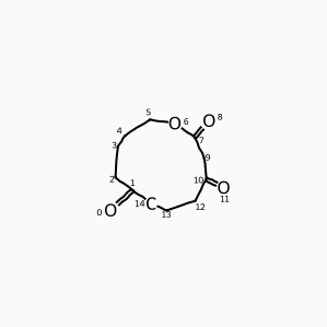 O=C1CCCCOC(=O)CC(=O)CCC1